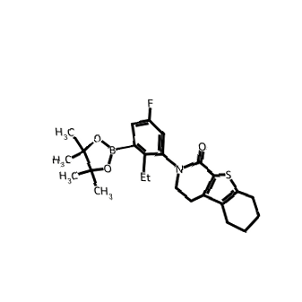 CCc1c(B2OC(C)(C)C(C)(C)O2)cc(F)cc1N1CCc2c(sc3c2CCCC3)C1=O